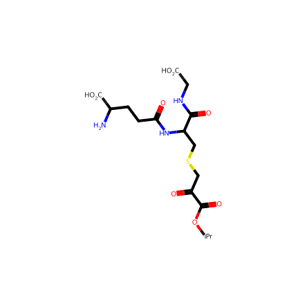 CC(C)OC(=O)C(=O)CSCC(NC(=O)CCC(N)C(=O)O)C(=O)NCC(=O)O